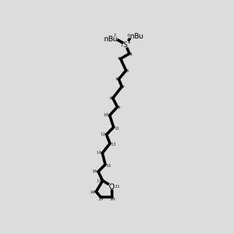 CCCC[S+](CCCC)CCCCCCCCCCCCCCC1CCCO1